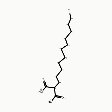 O=C(O)C(CCCCCCCCCCCF)C(=O)O